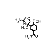 C[C@]1(c2cc(C(N)=O)ccc2F)COCC(N)=N1.Cl